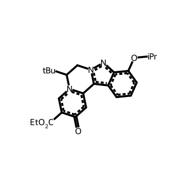 CCOC(=O)c1cn2c(cc1=O)-c1c3cccc(OC(C)C)c3nn1CC2C(C)(C)C